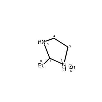 CCC1NCCN1.[Zn]